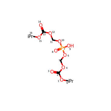 CC(C)OC(=O)OCOP(=O)(O)OCOC(=O)OC(C)C